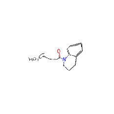 O=C(O)CC(=O)N1CCCc2ccccc21